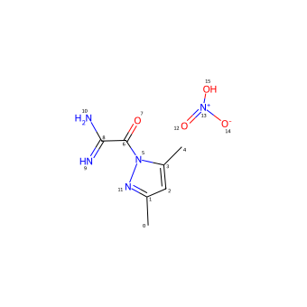 Cc1cc(C)n(C(=O)C(=N)N)n1.O=[N+]([O-])O